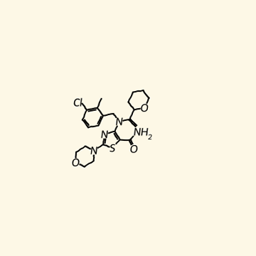 C=C(C1CCCCO1)N(Cc1cccc(Cl)c1C)c1nc(N2CCOCC2)sc1C(N)=O